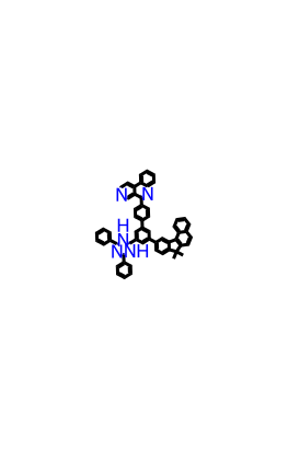 CC1(C)c2ccc(-c3cc(-c4ccc(-c5nc6ccccc6c6ccncc56)cc4)cc(C4NC(c5ccccc5)=NC(c5ccccc5)N4)c3)cc2-c2c1ccc1ccccc21